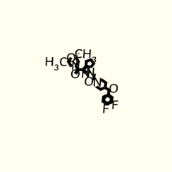 C[C@@H]1CN(C(=O)c2nn(CC(=O)N3CCC(C(=O)c4ccc(F)c(F)c4)CC3)c3c2CCC3)C[C@H](C)O1